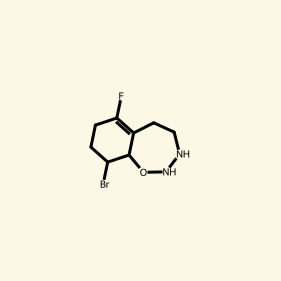 FC1=C2CCNNOC2C(Br)CC1